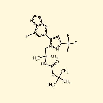 CC(C)(Cn1nc(C(F)(F)F)cc1-c1cc(F)c2nccn2c1)NC(=O)OC(C)(C)C